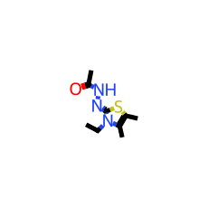 CCn1c(C)c(C)sc1=NNC(C)=O